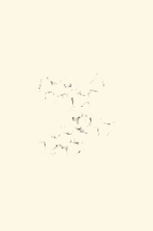 c1ccc(-c2nc(-c3cc(-c4ccccc4)c4oc5cc6ccccc6cc5c4c3)nc(-c3cc4ccccc4c4ccccc34)n2)cc1